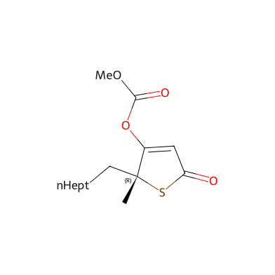 CCCCCCCC[C@@]1(C)SC(=O)C=C1OC(=O)OC